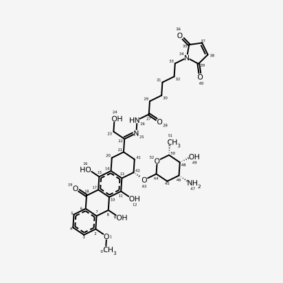 COc1cccc2c1C(O)c1c(O)c3c(c(O)c1C2=O)CC(/C(CO)=N/NC(=O)CCCCCN1C(=O)C=CC1=O)C[C@@H]3OC1C[C@@H](N)[C@@H](O)[C@@H](C)O1